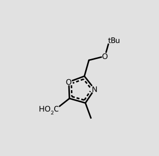 Cc1nc(COC(C)(C)C)oc1C(=O)O